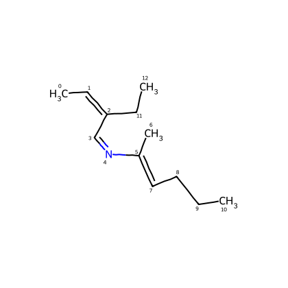 C\C=C(/C=N\C(C)=C\CCC)CC